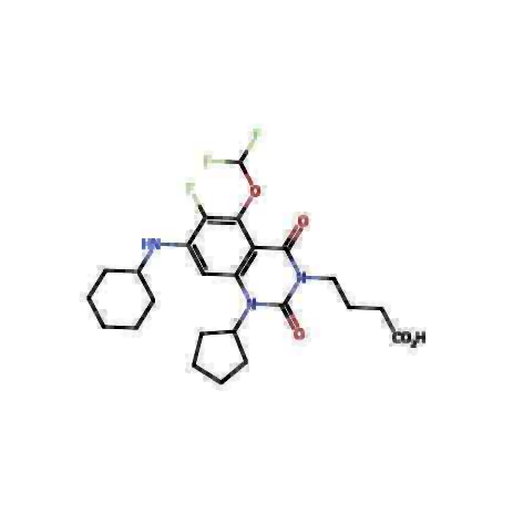 O=C(O)CCCn1c(=O)c2c(OC(F)F)c(F)c(NC3CCCCC3)cc2n(C2CCCC2)c1=O